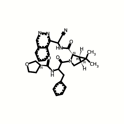 CC1(C)[C@@H]2[C@@H](C(=O)NC(C#N)c3nncc4ccccc34)N(C(=O)C(Cc3ccccc3)NC(=O)[C@H]3CCOC3)C[C@@H]21